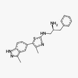 Cc1nc(NC[C@@H](N)Cc2ccccc2)sc1-c1ccc2[nH]nc(C)c2c1